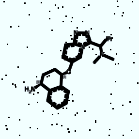 CC(C)C(c1nnc2ccc(O[C@@H]3CC[C@H](N)c4ccccc43)cn12)N(C)C